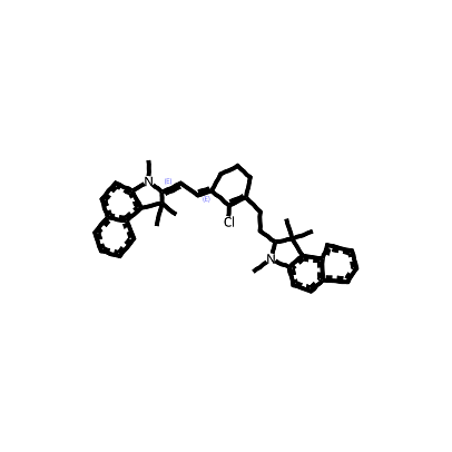 CN1/C(=C/C=C2\CCCC(CCC3N(C)c4ccc5ccccc5c4C3(C)C)=C2Cl)C(C)(C)c2c1ccc1ccccc21